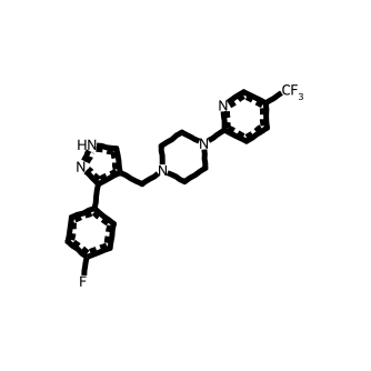 Fc1ccc(-c2n[nH]cc2CN2CCN(c3ccc(C(F)(F)F)cn3)CC2)cc1